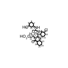 CC(NC(=O)Nc1cccc(O)c1)(c1cccc(Cl)c1)c1nc2ccccc2c(=O)n1CCC(=O)O